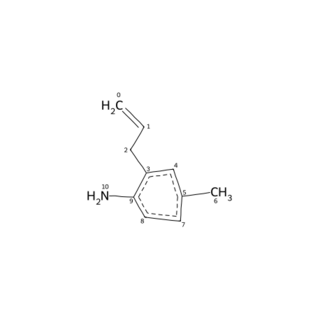 C=CCc1cc(C)ccc1N